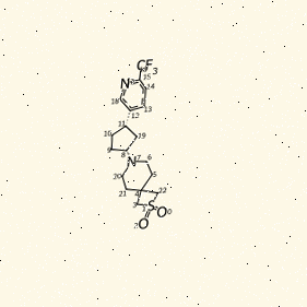 O=S1(=O)CC2(CCN([C@@H]3CC[C@H](c4ccc(C(F)(F)F)nc4)C3)CC2)C1